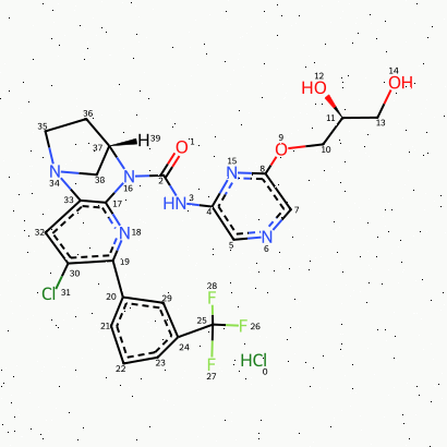 Cl.O=C(Nc1cncc(OC[C@@H](O)CO)n1)N1c2nc(-c3cccc(C(F)(F)F)c3)c(Cl)cc2N2CC[C@H]1C2